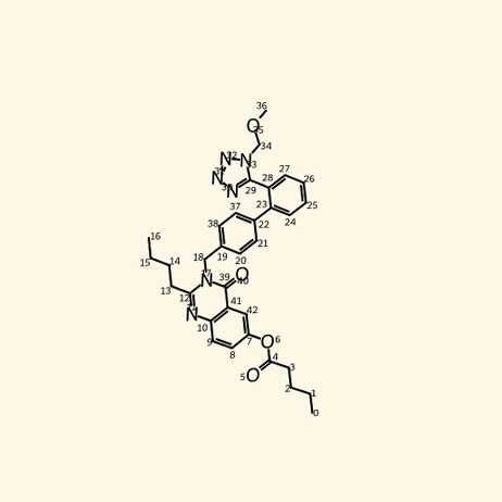 CCCCC(=O)Oc1ccc2nc(CCCC)n(Cc3ccc(-c4ccccc4-c4nnnn4COC)cc3)c(=O)c2c1